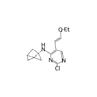 CCO/C=C/c1cnc(Cl)nc1NC12CC3CC31C2